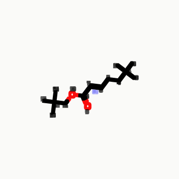 CC(C)(C)CC/C=C/C(=O)OCC(C)(C)C